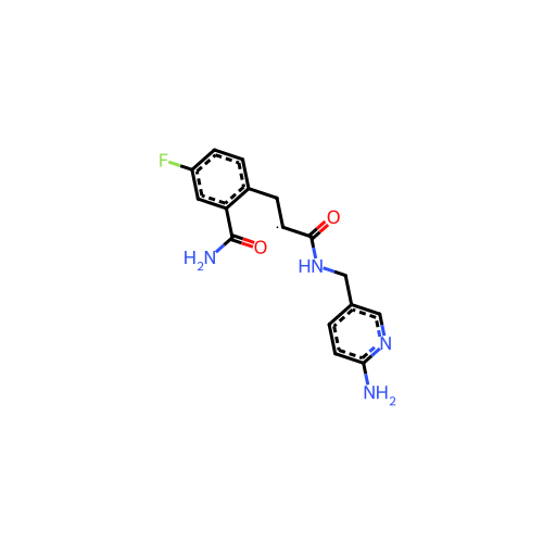 NC(=O)c1cc(F)ccc1C[CH]C(=O)NCc1ccc(N)nc1